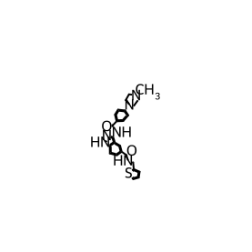 CN1CCN(c2ccc(C(=O)Nc3n[nH]c4ccc(C(=O)NCc5cccs5)cc34)cc2)CC1